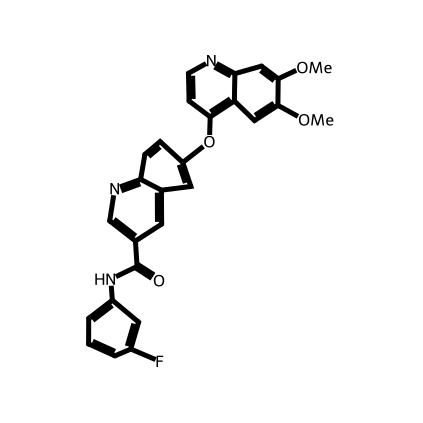 COc1cc2nccc(Oc3ccc4ncc(C(=O)Nc5cccc(F)c5)cc4c3)c2cc1OC